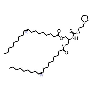 CCCCCCCC/C=C\CCCCCCCC(=O)OCC(COC(=O)CCCCCCC/C=C\CCCCCCCC)NC(=S)OCCN1CCCC1